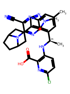 Cc1cc([C@@H](C)Nc2ccc(Cl)nc2C(=O)O)c2nc(N3C4CCC3CC(c3cnn(C)c3)C4)c(C#N)nc2c1